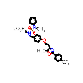 CCOC(=O)CN(Cc1ccc(OCCc2nc(-c3ccc(C(F)(F)F)cc3)oc2C)cc1)S(=O)(=O)N(C)c1ccccc1